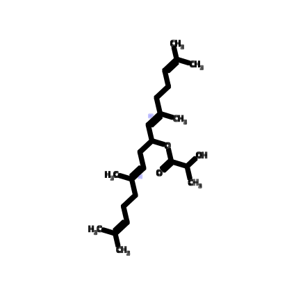 CC(C)=CCC/C(C)=C/CC(/C=C(\C)CCC=C(C)C)OC(=O)C(C)O